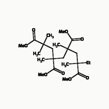 CCC(C)(CC(C)(CC(C)(CC(C)(C)C(=O)OC)C(=O)OC)C(=O)OC)C(=O)OC